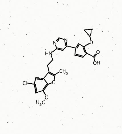 COc1cc(Cl)cc2c(CCNc3cc(-c4ccc(C(=O)O)c(OC5CC5)c4)ncn3)c(C)oc12